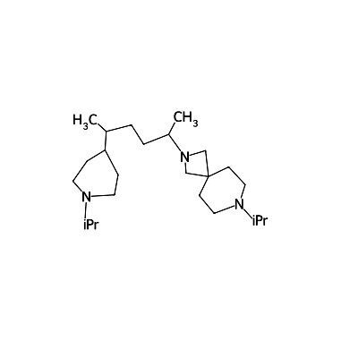 CC(CCC(C)N1CC2(CCN(C(C)C)CC2)C1)C1CCN(C(C)C)CC1